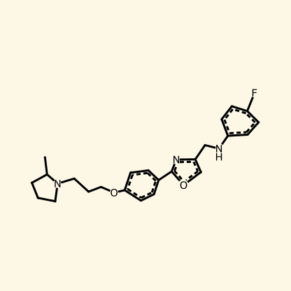 CC1CCCN1CCCOc1ccc(-c2nc(CNc3ccc(F)cc3)co2)cc1